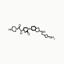 NC1CC(CNC2Cc3ccc(-n4ccc(NC(=O)N5CCNCC5)nc4=O)cc3C2)C1